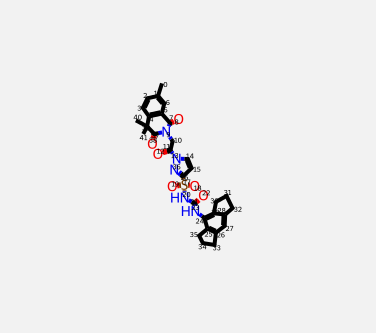 Cc1ccc2c(c1)C(=O)N(CC(=O)n1ccc(S(=O)(=O)NC(=O)Nc3c4c(cc5c3CCC5)CCC4)n1)C(=O)C2(C)C